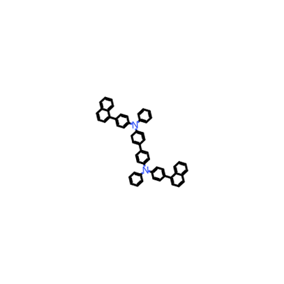 C1=CC(c2ccc(N(c3ccccc3)c3ccc(-c4cccc5ccccc45)cc3)cc2)=CCC=1N(c1ccccc1)c1ccc(-c2cccc3ccccc23)cc1